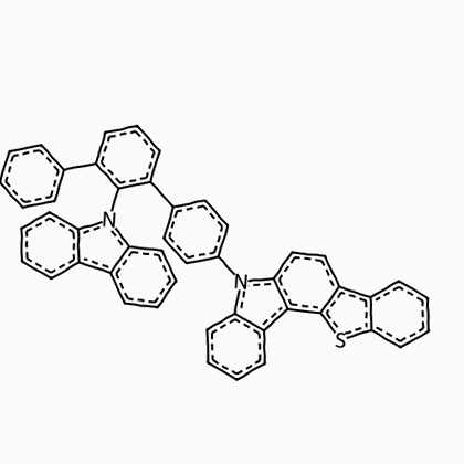 c1ccc(-c2cccc(-c3ccc(-n4c5ccccc5c5c6sc7ccccc7c6ccc54)cc3)c2-n2c3ccccc3c3ccccc32)cc1